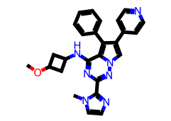 COC1CC(Nc2nc(-c3nccn3C)nn3cc(-c4ccncc4)c(-c4ccccc4)c23)C1